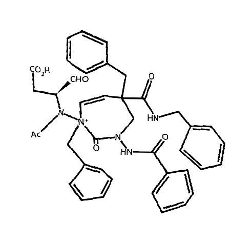 CC(=O)N([C@H](C=O)CC(=O)O)[N+]1(Cc2ccccc2)C=CC(Cc2ccccc2)(C(=O)NCc2ccccc2)CN(NC(=O)c2ccccc2)C1=O